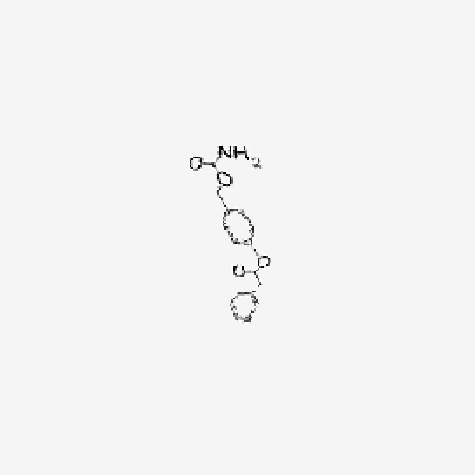 NC(=O)OCc1ccc(OC(=O)Cc2ccccc2)cc1